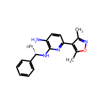 CCC[C@H](Nc1nc(-c2c(C)noc2C)ccc1N)c1ccccc1